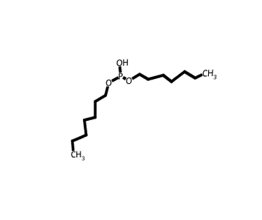 CCCCCCCOP(O)OCCCCCCC